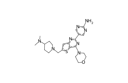 CN(C)C1CCN(Cc2cc3nc(-c4cnc(N)nc4)nc(N4CCOCC4)c3s2)CC1